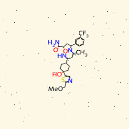 COCc1ncc(C2(O)CCC(C(=N)C[C@@H](C)N3OC(C(N)=O)CC3c3cccc(C(F)(F)F)c3)CC2)s1